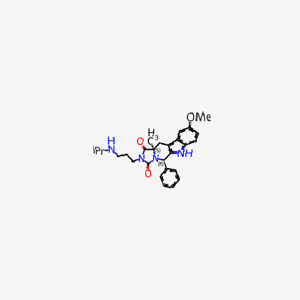 COc1ccc2[nH]c3c(c2c1)C[C@@]1(C)C(=O)N(CCCNC(C)C)C(=O)N1[C@@H]3c1ccccc1